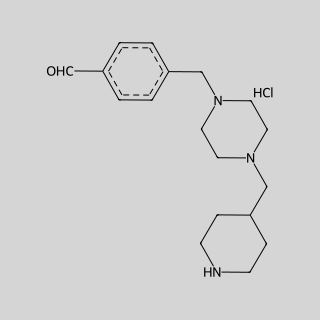 Cl.O=Cc1ccc(CN2CCN(CC3CCNCC3)CC2)cc1